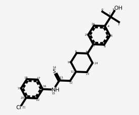 CC(C)(O)c1ccc(C2CCC(CC(=S)Nc3cccc(Cl)c3)CC2)cc1